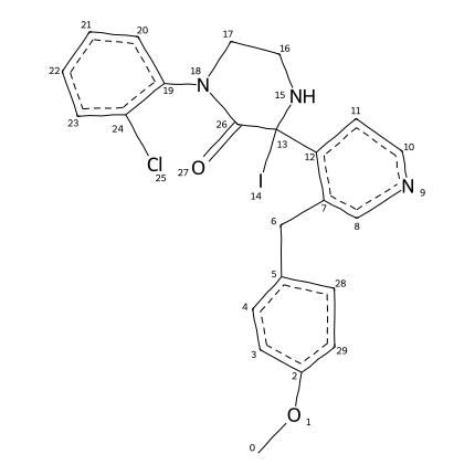 COc1ccc(Cc2cnccc2C2(I)NCCN(c3ccccc3Cl)C2=O)cc1